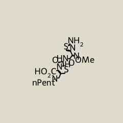 CCCCCN(C)CC1=C(C(=O)O)N2C(=O)[C@@H](NC(=O)/C(=N\OC)c3csc(N)n3)[C@H]2SC1